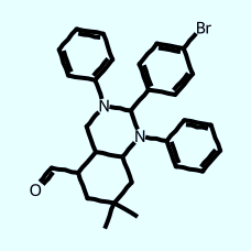 CC1(C)CC(C=O)C2CN(c3ccccc3)C(c3ccc(Br)cc3)N(c3ccccc3)C2C1